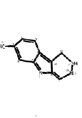 N#Cc1ccc2c(c1)=NC1=CNNCC=21